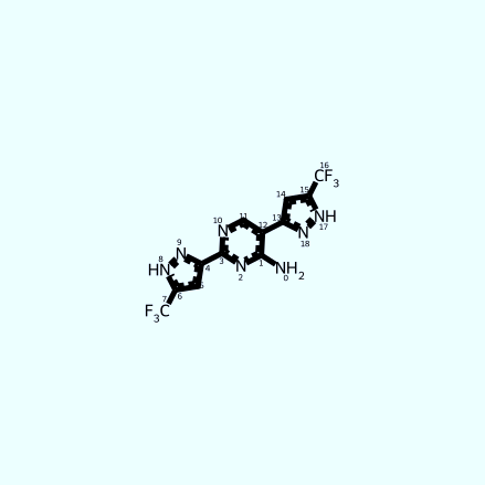 Nc1nc(-c2cc(C(F)(F)F)[nH]n2)ncc1-c1cc(C(F)(F)F)[nH]n1